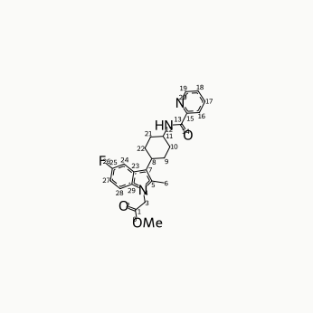 COC(=O)Cn1c(C)c(C2CCC(NC(=O)c3ccccn3)CC2)c2cc(F)ccc21